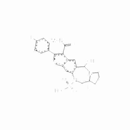 CNC(=O)c1c(-c2ccc(F)cc2)oc2cc3c(cc12)C(C)N1CCC[C@H]1CN3S(C)(=O)=O